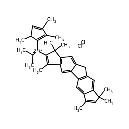 CC1=CC(C)[C]([Zr+2]([C]2=C(C)c3cc4c(cc3C2(C)C)Cc2cc3c(cc2-4)C(C)=CC3(C)C)=[C](C)C)=C1C.[Cl-].[Cl-]